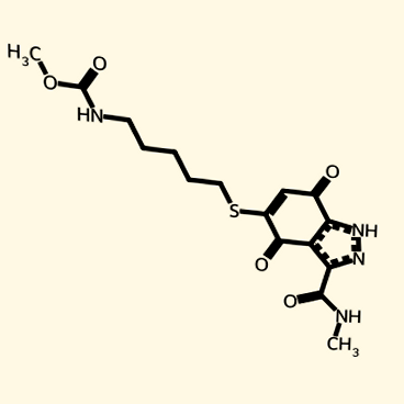 CNC(=O)c1n[nH]c2c1C(=O)C(SCCCCCNC(=O)OC)=CC2=O